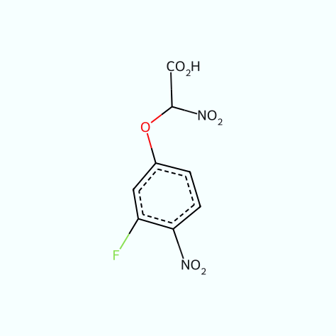 O=C(O)C(Oc1ccc([N+](=O)[O-])c(F)c1)[N+](=O)[O-]